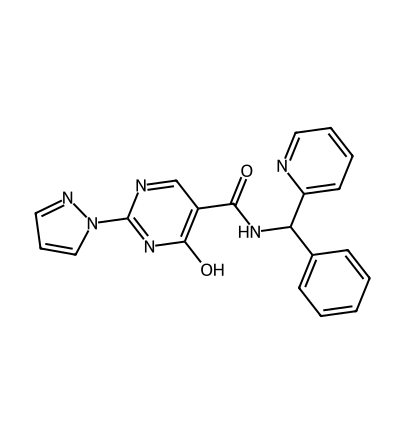 O=C(NC(c1ccccc1)c1ccccn1)c1cnc(-n2cccn2)nc1O